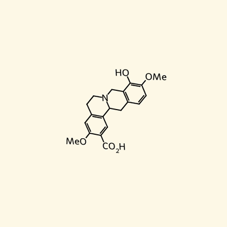 COc1cc2c(cc1C(=O)O)C1Cc3ccc(OC)c(O)c3CN1CC2